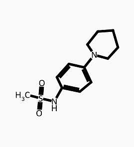 CS(=O)(=O)Nc1ccc(N2CCCCC2)cc1